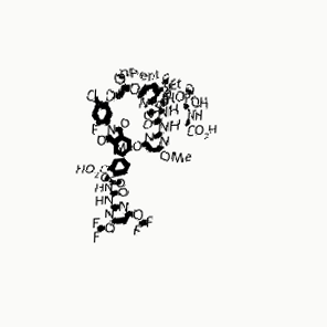 CCCCCOC(=O)COc1cc(N2C(=O)C3=C(CCCC3)C2=O)c(F)cc1Cl.CCS(=O)(=O)c1cccnc1S(=O)(=O)NC(=O)Nc1nc(OC)cc(OC)n1.O=C(Nc1nc(OC(F)F)cc(OC(F)F)n1)NS(=O)(=O)c1ccccc1C(=O)O.O=C(O)CNCP(=O)(O)O